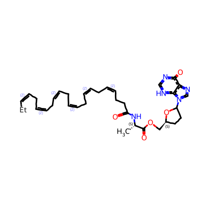 CC/C=C\C/C=C\C/C=C\C/C=C\C/C=C\C/C=C\CCC(=O)N[C@@H](C)C(=O)OC[C@@H]1CCC(n2cnc3c(=O)nc[nH]c32)O1